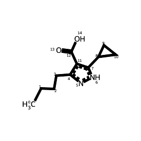 CCCCc1n[nH]c(C2CC2)c1C(=O)O